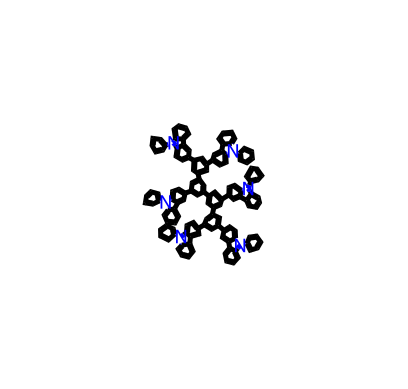 c1ccc(-n2c3ccccc3c3cc(-c4cc(-c5cc(-c6cc(-c7ccc8c(c7)c7ccccc7n8-c7ccccc7)cc(-c7ccc8c(c7)c7ccccc7n8-c7ccccc7)c6)cc(-c6ccc7c(c6)c6ccccc6n7-c6ccccc6)c5)cc(-c5cc(-c6ccc7c(c6)c6ccccc6n7-c6ccccc6)cc(-c6ccc7c(c6)c6ccccc6n7-c6ccccc6)c5)c4)ccc32)cc1